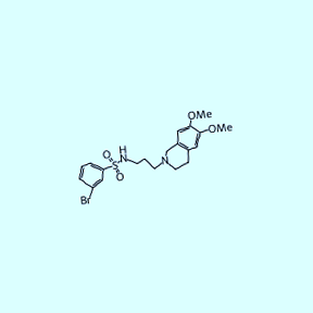 COc1cc2c(cc1OC)CN(CCCNS(=O)(=O)c1cccc(Br)c1)CC2